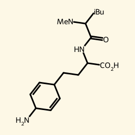 CCC(C)C(NC)C(=O)NC(CCC1C=CC(N)C=C1)C(=O)O